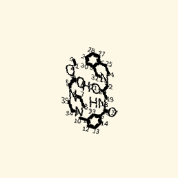 CCOC(=O)CN1CCN(Cc2cccc(C(=O)NCC(O)CN3CCc4ccccc4C3)c2)CC1